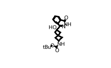 CC(C)(C)OC(=O)NC1CC2(C1)CC(O)(c1n[nH]c(=O)c3ccccc13)C2